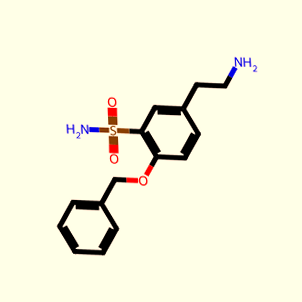 NCCc1ccc(OCc2ccccc2)c(S(N)(=O)=O)c1